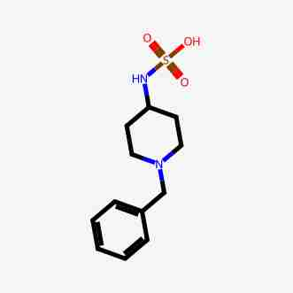 O=S(=O)(O)NC1CCN(Cc2ccccc2)CC1